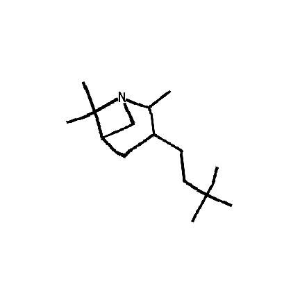 CC1C(CCC(C)(C)C)CC2CN1C2(C)C